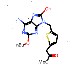 CCCCOc1nc(N)c2nc(O)n(Cc3ccc(CC(=O)OC)s3)c2n1